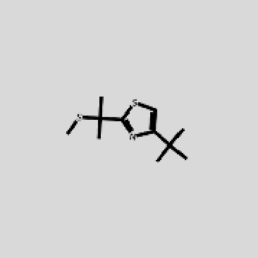 CSC(C)(C)c1nc(C(C)(C)C)cs1